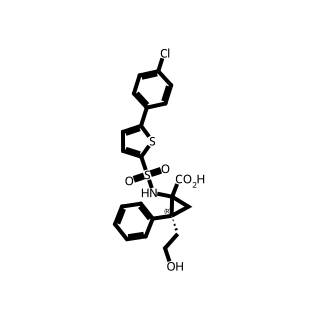 O=C(O)C1(NS(=O)(=O)c2ccc(-c3ccc(Cl)cc3)s2)C[C@@]1(CCO)c1ccccc1